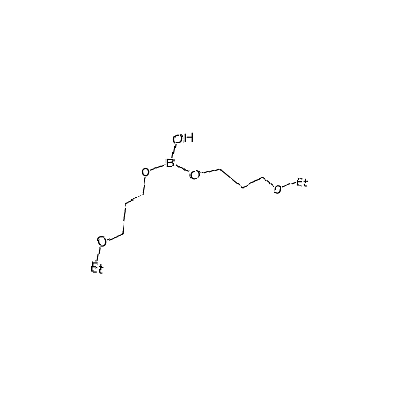 CCOCCCOB(O)OCCCOCC